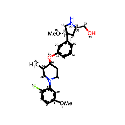 COc1ccc(F)c(N2CCC(Oc3cccc([C@@]4(OC)CN[C@@H](CO)C4)c3)C(C)C2)c1